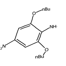 CCCCOc1cc([N+](=O)[O-])cc(OCCCC)c1[NH]